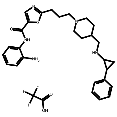 Nc1ccccc1NC(=O)c1cnc(CCCN2CCC(CNC3CC3c3ccccc3)CC2)s1.O=C(O)C(F)(F)F